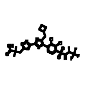 C[C@H](NS(=O)(=O)c1ccc(-c2sc(-c3cc(CC(C)(C)C(=O)O)on3)nc2CC2CCC2)c(Cl)c1Cl)C(F)(F)F